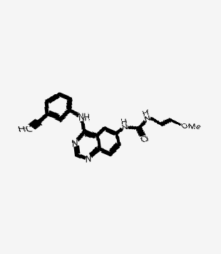 C#Cc1cccc(Nc2ncnc3ccc(NC(=O)NCCOC)cc23)c1